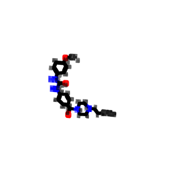 COCCN1CCN(C(=O)c2ccc(NC(=O)Nc3ccc(OC(F)(F)F)cc3)cc2)CC1